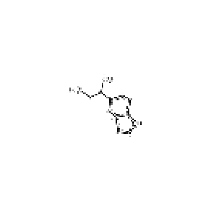 O=C(O)CC(C(=O)O)c1ccc2[nH]ccc2c1